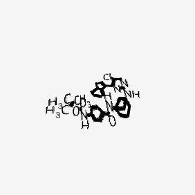 CC(C)(C)OC(=O)Nc1ccc(C(=O)NC23CCCC(Nc4ncc(Cl)c(C5=CCc6ccccc65)n4)(C2)C3)cc1